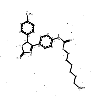 CCCCCCCCCCCCCCCCOC(=O)Nc1ccc(C2=NC(=O)OC2c2ccc(OC)cc2)cc1